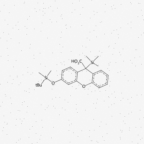 CC(C)(C)[Si](C)(C)Oc1ccc2c(c1)Oc1ccccc1C2(C(=O)O)[Si](C)(C)C